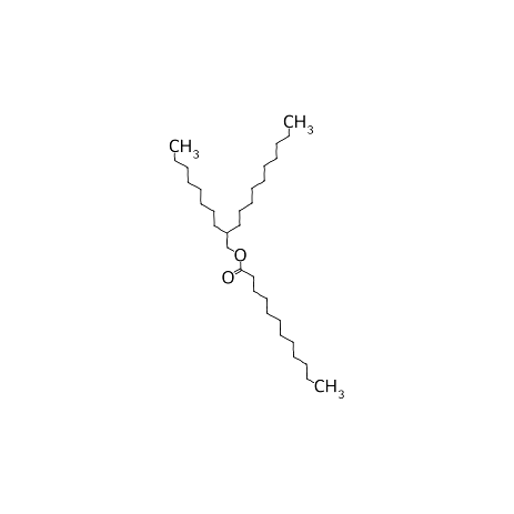 CCCCCCCCCCCC(=O)OCC(CCCCCCCC)CCCCCCCCCC